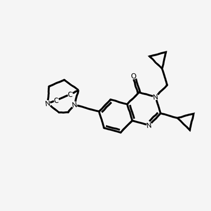 O=c1c2cc(N3CCN4CCC3CC4)ccc2nc(C2CC2)n1CC1CC1